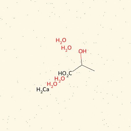 CC(O)C(=O)O.O.O.O.O.[CaH2]